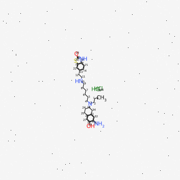 CCCN(CCCCCCNCCc1ccc2[nH]c(=O)sc2c1)C1CCc2cc(O)c(N)cc2C1.Cl.Cl